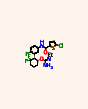 CC/N=C(/N)O[C@@H]1CCCC(F)(F)[C@@H]1c1cc(NC(=O)c2ccc(Cl)s2)ccc1F